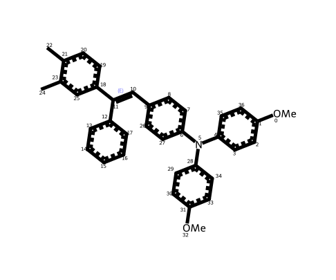 COc1ccc(N(c2ccc(/C=C(\c3ccccc3)c3ccc(C)c(C)c3)cc2)c2ccc(OC)cc2)cc1